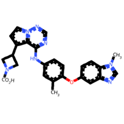 Cc1cc(Nc2ncnn3ccc(C4CN(C(=O)O)C4)c23)ccc1Oc1ccc2c(c1)ncn2C